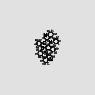 c1ccc(N(c2ccnc3ccccc23)c2c3c(c(N(c4ccccc4)c4ccnc5ccccc45)c4ccccc24)Oc2ccccc2O3)cc1